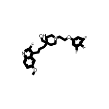 COc1ccc2ncc(F)c(CCCC3(CO)CCN(CCOc4cc(F)c(F)c(F)c4)CC3)c2c1